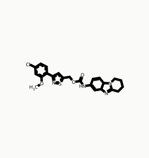 COc1cc(Cl)ccc1-c1cc(COC(=O)NC2=CC3N=C4CCCCN4C3C=C2)sn1